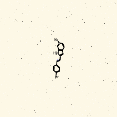 Brc1ccc(/C=C/c2cc3ccc(Br)cc3[nH]2)cc1